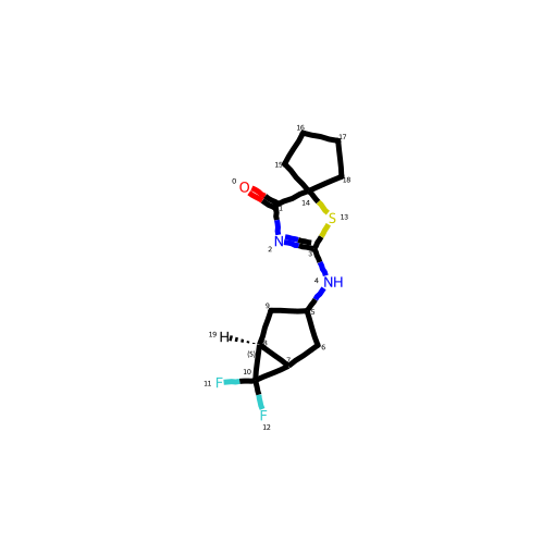 O=C1N=C(NC2CC3[C@H](C2)C3(F)F)SC12CCCC2